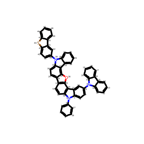 c1ccc(-n2c3ccc(-n4c5ccccc5c5ccccc54)cc3c3c4oc5c(ccc6c5c5ccccc5n6-c5ccc6sc7ccccc7c6c5)c4ccc32)cc1